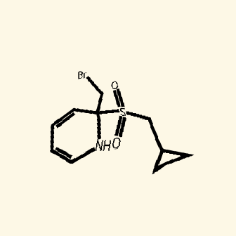 O=S(=O)(CC1CC1)C1(CBr)C=CC=CN1